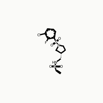 C=CS(=O)(=O)NC[C@H]1CCN(S(=O)(=O)c2cccc(Cl)c2F)C1